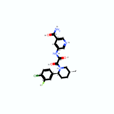 C[C@@H]1CC[C@@H](c2ccc(Cl)c(F)c2)N(C(=O)C(=O)Nc2cncc(C(N)=O)c2)C1